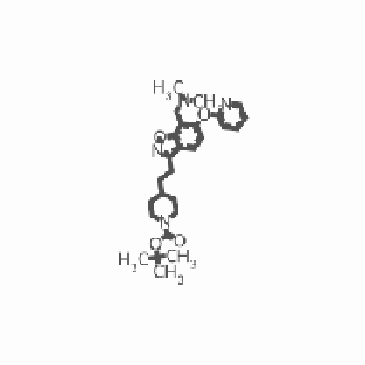 CN(C)Cc1c(Oc2ccccn2)ccc2c(CCC3CCN(C(=O)OC(C)(C)C)CC3)noc12